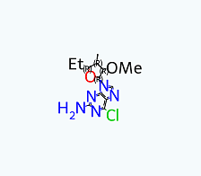 CC[C@H]1O[C@@H](n2cnc3c(Cl)nc(N)nc32)[C@H](OC)[C@@H]1C